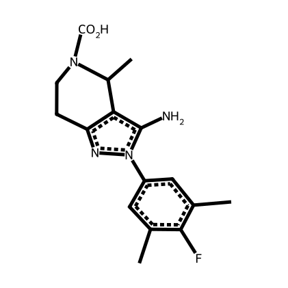 Cc1cc(-n2nc3c(c2N)C(C)N(C(=O)O)CC3)cc(C)c1F